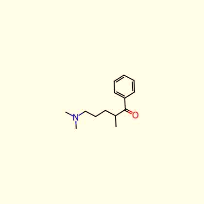 CC(CCCN(C)C)C(=O)c1ccccc1